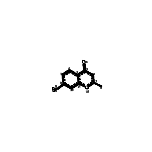 Cc1cc(=O)c2ccc(Br)cc2o1